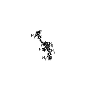 Cc1ncsc1-c1ccc([C@H](C)NC(=O)[C@@H]2C[C@@H](O)CN2C(=O)C(NC(=O)CCCC#Cc2ccc(-c3cc(Cl)nnc3N)cc2)C(C)(C)C)cc1